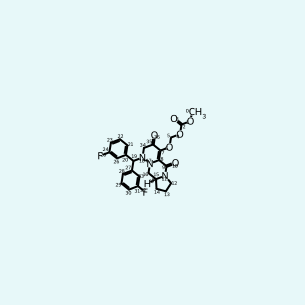 COC(=O)OCOC1=C2C(=O)N3CCC[C@@H]3CN2N(C(c2cccc(F)c2)c2cccc(F)c2)CC1=O